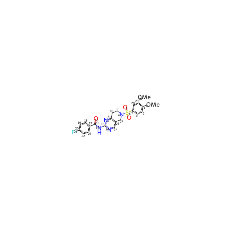 COc1ccc(S(=O)(=O)N2CCc3nc(NC(=O)c4ccc(F)cc4)ncc3C2)cc1OC